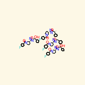 C[C@H](c1ccccc1)c1nc([C@H]2CCCN(C(=O)c3ccc(F)cc3)C2)no1.O=C(c1ccc(F)cc1)N1CCC[C@H](c2noc(Cc3ccccc3)n2)C1.O=C(c1ccc(F)cc1)N1CCC[C@H](c2noc([C@@H](O)c3ccccc3)n2)C1.O=C(c1ccc(F)cc1)N1CCC[C@H](c2noc([C@H](O)c3ccccc3)n2)C1